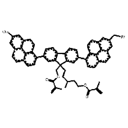 C=C(C)C(=O)OCCC(C)CCC1(COC(=O)C(=C)C)c2cc(-c3ccc4ccc5cc(CC(C)C)cc6ccc3c4c56)ccc2-c2ccc(-c3ccc4ccc5cc(C(C)(C)C)cc6ccc3c4c56)cc21